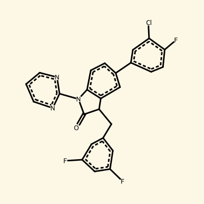 O=C1C(Cc2cc(F)cc(F)c2)c2cc(-c3ccc(F)c(Cl)c3)ccc2N1c1ncccn1